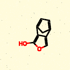 Oc1occ2c1C1=CC=C2C1